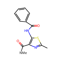 CNC(=O)c1nc(C)sc1NC(=O)c1ccccc1